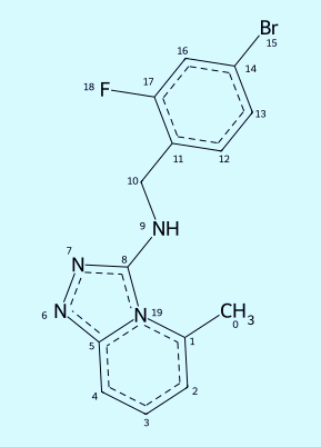 Cc1cccc2nnc(NCc3ccc(Br)cc3F)n12